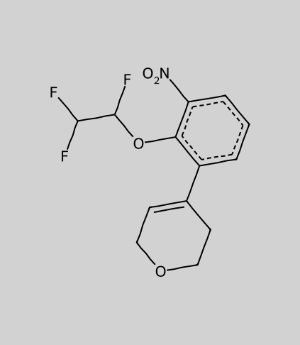 O=[N+]([O-])c1cccc(C2=CCOCC2)c1OC(F)C(F)F